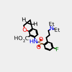 CCN(CC)CCCc1cc(F)ccc1S(=O)(=O)Nc1ccc2c(c1C(=O)O)OC[C@@H]1C[C@H]21